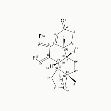 C[C@]12CCC(=O)C=C1C(=CF)C(=CF)[C@@H]1[C@H]2CC[C@]2(C)OCC[C@@H]12